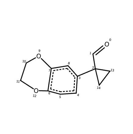 O=CC1(c2ccc3c(c2)OCCO3)CC1